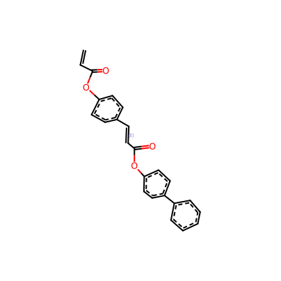 C=CC(=O)Oc1ccc(/C=C/C(=O)Oc2ccc(-c3ccccc3)cc2)cc1